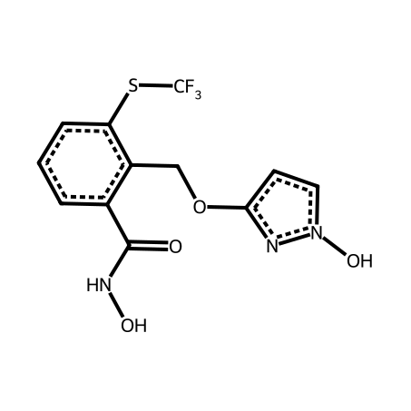 O=C(NO)c1cccc(SC(F)(F)F)c1COc1ccn(O)n1